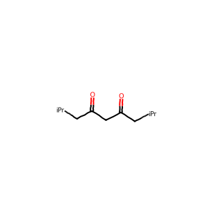 CC(C)CC(=O)CC(=O)CC(C)C